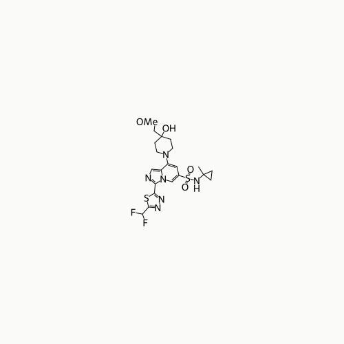 COCC1(O)CCN(c2cc(S(=O)(=O)NC3(C)CC3)cn3c(-c4nnc(C(F)F)s4)ncc23)CC1